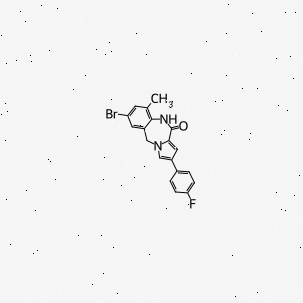 Cc1cc(Br)cc2c1NC(=O)c1cc(-c3ccc(F)cc3)cn1C2